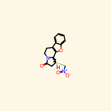 O=C1C[C@H]2[C@H](C[N+](=O)[O-])CC[C@]23c2oc4ccccc4c2CCN13